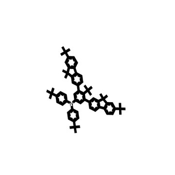 CC(C)(C)c1ccc(N(c2ccc(C(C)(C)C)cc2)c2cc(-c3ccc4c(c3)C(C)(C)c3cc(C(C)(C)C)ccc3-4)c(C(C)(C)C)c(-c3ccc4c(c3)C(C)(C)c3cc(C(C)(C)C)ccc3-4)c2)cc1